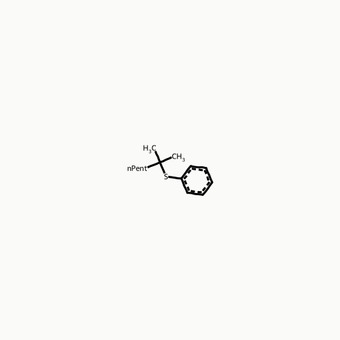 CCCCCC(C)(C)Sc1ccccc1